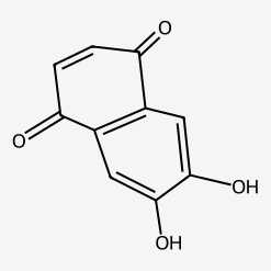 O=C1C=CC(=O)c2cc(O)c(O)cc21